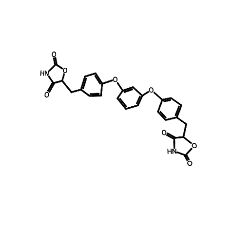 O=C1NC(=O)C(Cc2ccc(Oc3cccc(Oc4ccc(CC5OC(=O)NC5=O)cc4)c3)cc2)O1